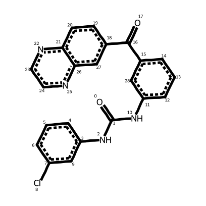 O=C(Nc1cccc(Cl)c1)Nc1cccc(C(=O)c2ccc3nccnc3c2)c1